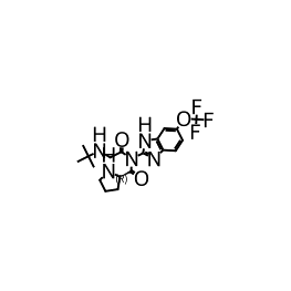 CC(C)(C)NCC(=O)N(C(=O)[C@H]1CCCN1)c1nc2ccc(OC(F)(F)F)cc2[nH]1